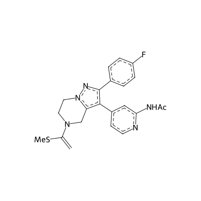 C=C(SC)N1CCn2nc(-c3ccc(F)cc3)c(-c3ccnc(NC(C)=O)c3)c2C1